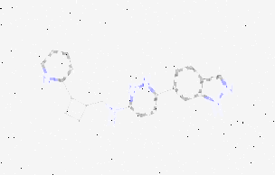 c1ccc(C2CCC2CNc2ccc(-c3ccc4cn[nH]c4c3)nn2)nc1